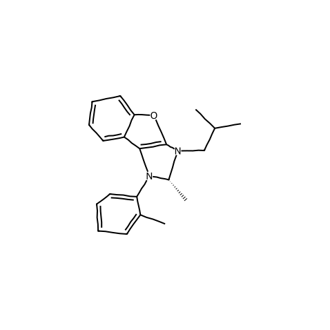 Cc1ccccc1N1c2c(oc3ccccc23)N(CC(C)C)[C@@H]1C